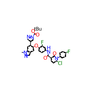 Cn1ncc2cc(Oc3ccc(NC(=O)c4ccc(Cl)n(-c5ccc(F)cc5)c4=O)cc3F)c(-c3cnn(C(=O)OC(C)(C)C)c3)cc21